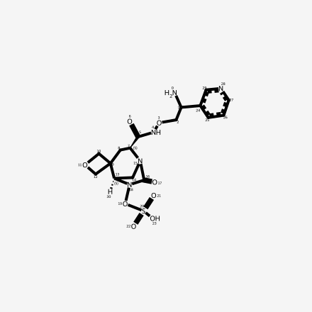 NC(CONC(=O)[C@@H]1CC2(COC2)[C@H]2CN1C(=O)N2OS(=O)(=O)O)c1cccnc1